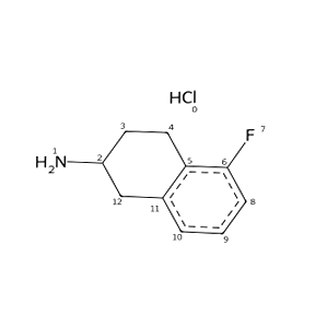 Cl.NC1CCc2c(F)cccc2C1